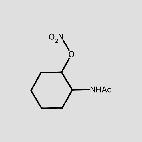 CC(=O)NC1CCCCC1O[N+](=O)[O-]